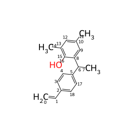 C=Cc1ccc(C(C)c2cc(C)cc(C)c2O)cc1